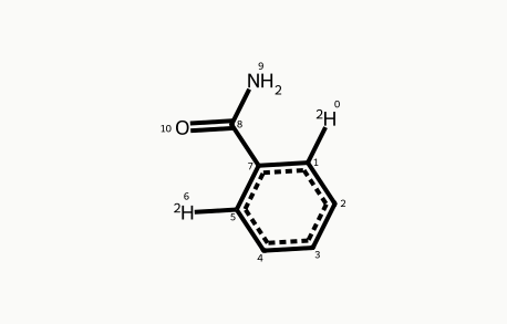 [2H]c1cccc([2H])c1C(N)=O